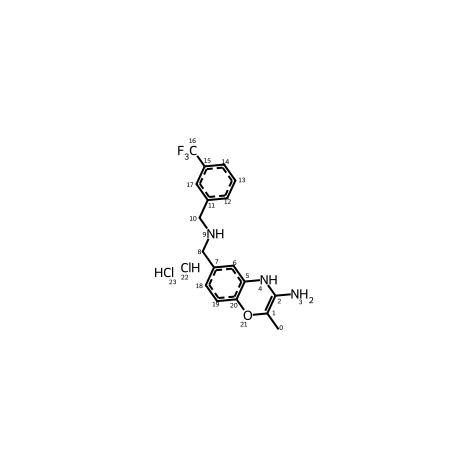 CC1=C(N)Nc2cc(CNCc3cccc(C(F)(F)F)c3)ccc2O1.Cl.Cl